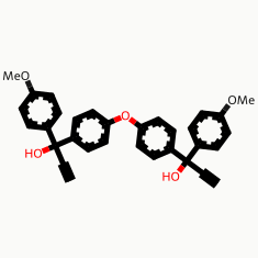 C#CC(O)(c1ccc(OC)cc1)c1ccc(Oc2ccc(C(O)(C#C)c3ccc(OC)cc3)cc2)cc1